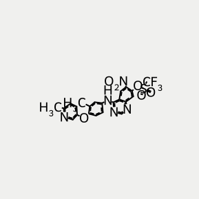 Cc1ccc(Oc2ccc(Nc3ncnc4cc(OS(=O)(=O)C(F)(F)F)c([N+](=O)[O-])cc34)cc2C)cn1